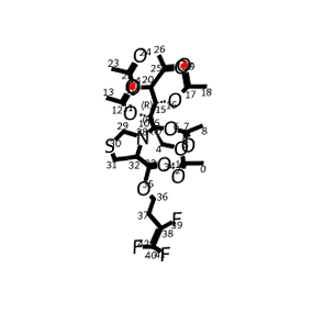 CC(=O)OC[C@](OC(C)=O)([C@H](OC(C)=O)[C@@H](OC(C)=O)C(OC(C)=O)C(C)=O)N1CSCC1C(=O)OCCC(F)=C(F)F